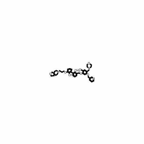 Cc1c(COc2cc(OCc3cccnc3)c(CN3CCOCC3)cc2Cl)cccc1-c1cccc(OCCCN2CCC3(CCOC3)CC2)c1C